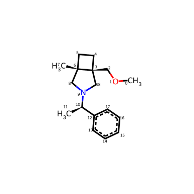 COC[C@]12CC[C@@]1(C)CN([C@H](C)c1ccccc1)C2